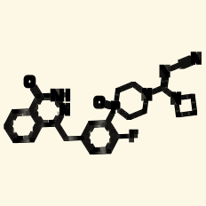 N#CN=C(N1CCC1)N1CCP(=O)(c2cc(Cc3n[nH]c(=O)c4ccccc34)ccc2F)CC1